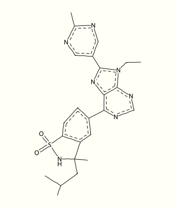 CCn1c(-c2cnc(C)nc2)nc2c(-c3ccc4c(c3)C(C)(CC(C)C)NS4(=O)=O)ncnc21